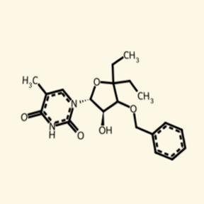 CCC1(CC)O[C@@H](n2cc(C)c(=O)[nH]c2=O)[C@H](O)C1OCc1ccccc1